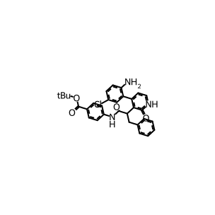 CC(C)(C)OC(=O)c1ccc(NC(=O)C(Cc2ccccc2)c2c(-c3cc(Cl)ccc3N)cc[nH]c2=O)cc1